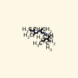 C=C/C(=C/CC(C=C)/C(C)=C/C)C/C=C(\C)NC(=C)C(CC)CCCC